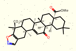 COC(=O)[C@]12CCC(C)(C)C[C@H]1[C@H]1C(=O)C=C3[C@@]4(C)Cc5cnoc5[C@@](C)(C(=O)O)C4CC[C@@]3(C)[C@]1(C)CC2